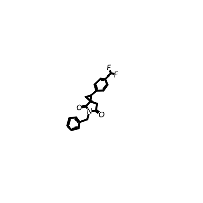 O=C1CC2(CC2c2ccc(C(F)F)cc2)C(=O)N1Cc1ccccc1